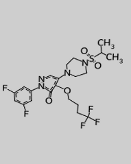 CC(C)S(=O)(=O)N1CCN(c2cnn(-c3cc(F)cc(F)c3)c(=O)c2OCCCC(F)(F)F)CC1